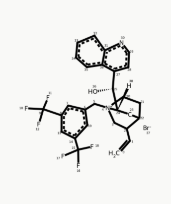 C=CC1C[N+]2(Cc3cc(C(F)(F)F)cc(C(F)(F)F)c3)CCC1C[C@H]2[C@H](O)c1ccnc2ccccc12.[Br-]